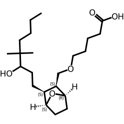 CCCCC(C)(C)C(O)CC[C@H]1[C@@H](COCCCCC(=O)O)[C@H]2CC[C@@H]1O2